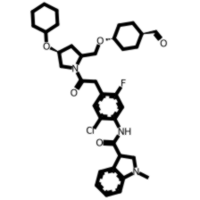 CN1CC(C(=O)Nc2cc(F)c(CC(=O)N3C[C@@H](OC4CCCCC4)CC3CO[C@H]3CC[C@H](C=O)CC3)cc2Cl)c2ccccc21